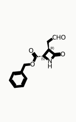 O=CC[C@H]1C(=O)N[C@@H]1C(=O)OCc1ccccc1